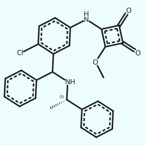 COc1c(Nc2ccc(Cl)c(C(N[C@@H](C)c3ccccc3)c3ccccc3)c2)c(=O)c1=O